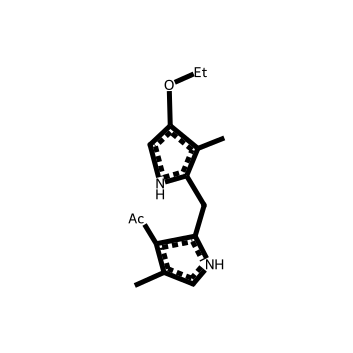 CCOc1c[nH]c(Cc2[nH]cc(C)c2C(C)=O)c1C